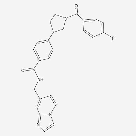 O=C(NCc1ccn2ccnc2c1)c1ccc(C2CCN(C(=O)c3ccc(F)cc3)C2)cc1